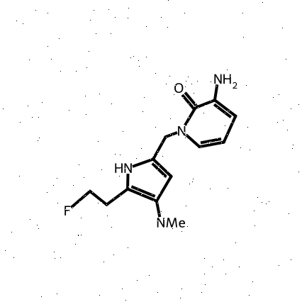 CNc1cc(Cn2cccc(N)c2=O)[nH]c1CCF